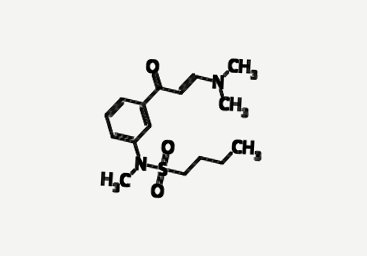 CCCCS(=O)(=O)N(C)c1cccc(C(=O)C=CN(C)C)c1